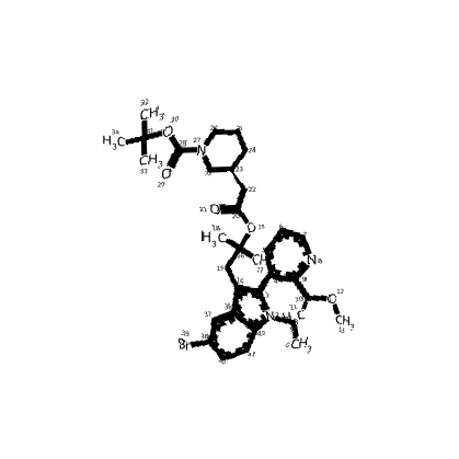 CCn1c(-c2cccnc2[C@H](C)OC)c(CC(C)(C)OC(=O)C[C@@H]2CCCN(C(=O)OC(C)(C)C)C2)c2cc(Br)ccc21